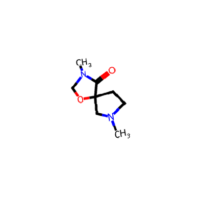 CN1CCC2(C1)OCN(C)C2=O